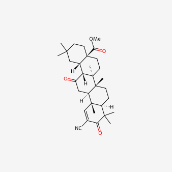 COC(=O)[C@]12CCC(C)(C)C[C@H]1[C@H]1C(=O)C[C@@H]3[C@@]4(C)C=C(C#N)C(=O)C(C)(C)[C@@H]4CC[C@@]3(C)[C@]1(C)CC2